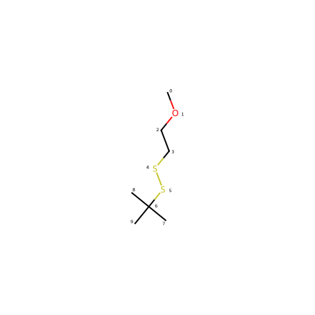 COCCSSC(C)(C)C